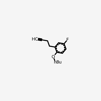 C#CCCc1cc(F)ccc1OCCCC